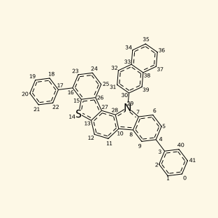 c1ccc(-c2ccc3c(c2)c2ccc4sc5c(-c6ccccc6)cccc5c4c2n3-c2ccc3ccccc3c2)cc1